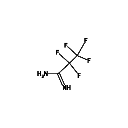 N=C(N)C(F)(F)C(F)(F)F